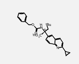 CC(C)(C)C[C@](NC(=O)OCc1ccccc1)(C(=O)O)c1ccc2nc(C3CC3)ccc2c1